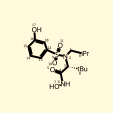 CC(C)CN([C@@H](C(=O)NO)C(C)(C)C)S(=O)(=O)c1cccc(O)c1